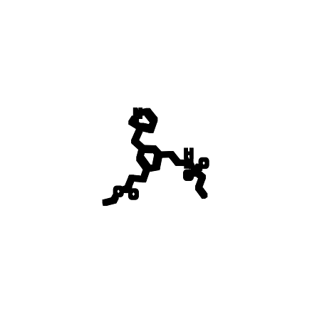 CCCS(=O)(=O)NCCc1cc(CCC(=O)OCC)cc(Cc2cccnc2)c1